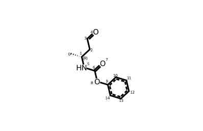 C[C@H](CC=O)NC(=O)Oc1ccccc1